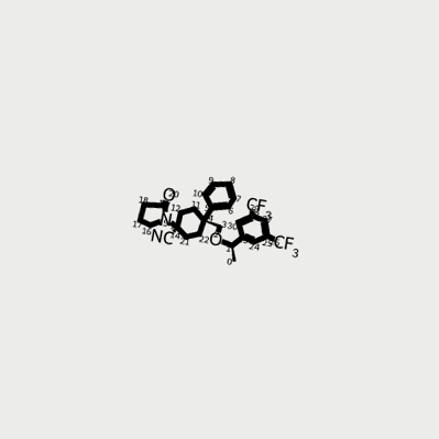 C[C@@H](OC[C@]1(c2ccccc2)CC[C@@](C#N)(N2CCCC2=O)CC1)c1cc(C(F)(F)F)cc(C(F)(F)F)c1